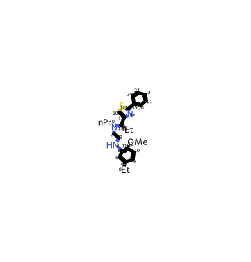 CCCN(CCNc1cc(CC)ccc1OC)C(CC)c1csc(-c2ccccc2)n1